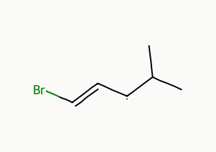 CC(C)[CH]C=CBr